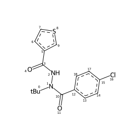 CC(C)(C)N(NC(=O)c1ccsc1)C(=O)c1ccc(Cl)cc1